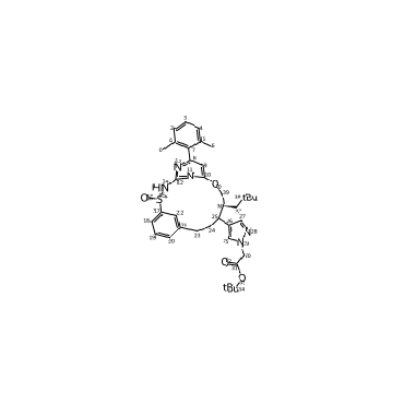 Cc1cccc(C)c1-c1cc2nc(n1)N[S+]([O-])c1cccc(c1)CCC(c1cnn(CC(=O)OC(C)(C)C)c1)[C@H](CC(C)(C)C)CO2